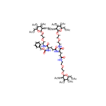 CC(=O)NC1C(OCCOCCNC(=O)CCC(NC(=O)CCC(NC(=O)OCc2ccccc2)C(=O)NCCOCCOC2OC(COC(C)=O)C(OC(C)=O)C(OC(C)=O)C2NC(C)=O)C(=O)NCCOCCOC2OC(COC(C)=O)C(OC(C)=O)C(OC(C)=O)C2NC(C)=O)OC(COC(C)=O)C(OC(C)=O)C1OC(C)=O